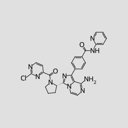 Nc1nccn2c([C@@H]3CCCN3C(=O)c3ccnc(Cl)n3)nc(-c3ccc(C(=O)Nc4ccccn4)cc3)c12